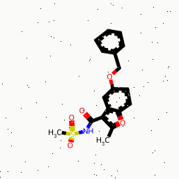 Cc1oc2ccc(OCc3ccccc3)cc2c1C(=O)NS(C)(=O)=O